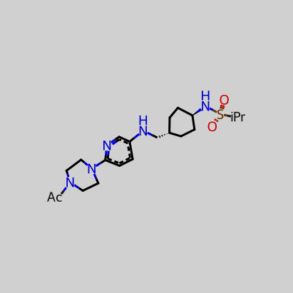 CC(=O)N1CCN(c2ccc(NC[C@H]3CC[C@H](NS(=O)(=O)C(C)C)CC3)cn2)CC1